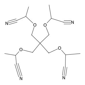 CC(C#N)OCC(COC(C)C#N)(COC(C)C#N)COC(C)C#N